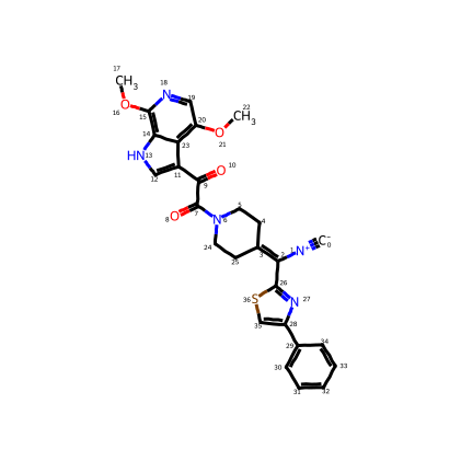 [C-]#[N+]C(=C1CCN(C(=O)C(=O)c2c[nH]c3c(OC)ncc(OC)c23)CC1)c1nc(-c2ccccc2)cs1